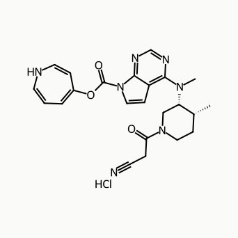 C[C@@H]1CCN(C(=O)CC#N)C[C@@H]1N(C)c1ncnc2c1ccn2C(=O)OC1=CC=CNC=C1.Cl